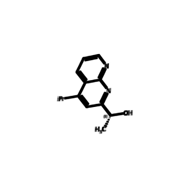 CC(C)c1cc([C@@H](C)O)nc2ncccc12